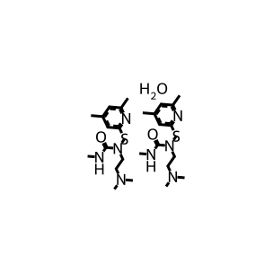 CNC(=O)N(CCN(C)C)Sc1cc(C)cc(C)n1.CNC(=O)N(CCN(C)C)Sc1cc(C)cc(C)n1.O